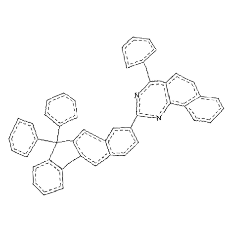 c1ccc(-c2nc(-c3ccc4cc5c(cc4c3)C(c3ccccc3)(c3ccccc3)c3ccccc3-5)nc3c2ccc2ccccc23)cc1